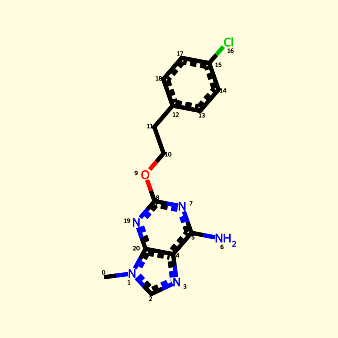 Cn1cnc2c(N)nc(OCCc3ccc(Cl)cc3)nc21